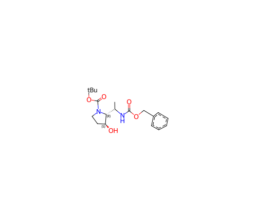 CC(NC(=O)OCc1ccccc1)[C@@H]1[C@@H](O)CCN1C(=O)OC(C)(C)C